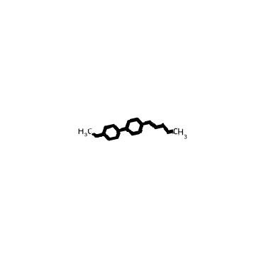 CCCCCC1CCC(C2CCC(CC)CC2)CC1